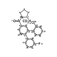 O=C(O)C1CCCN1C(=O)c1cnc(-c2cccc(F)c2)c(-c2ccccc2Cl)c1